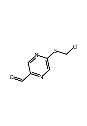 O=Cc1cnc(SCCl)cn1